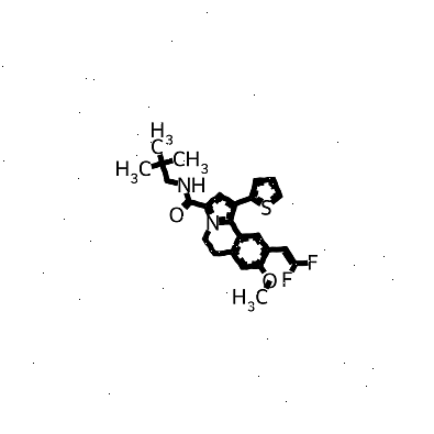 COc1cc2c(cc1C=C(F)F)-c1c(-c3cccs3)cc(C(=O)NCC(C)(C)C)n1CC2